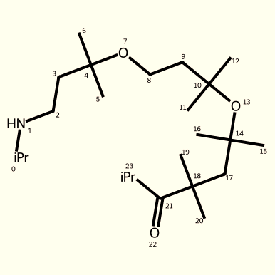 CC(C)NCCC(C)(C)OCCC(C)(C)OC(C)(C)CC(C)(C)C(=O)C(C)C